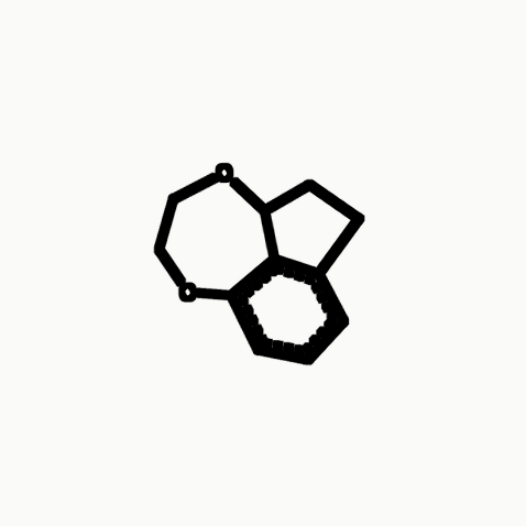 c1cc2c3c(c1)OCCOC3CC2